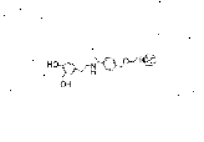 CC(NCCc1ccc(O)c(CO)c1)c1ccc(COCC[N+]23CCC(CC2)CC3)cc1